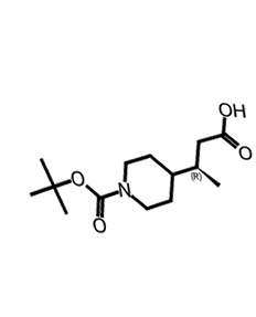 C[C@H](CC(=O)O)C1CCN(C(=O)OC(C)(C)C)CC1